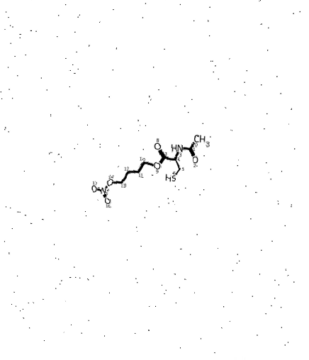 CC(=O)N[C@@H](CS)C(=O)OCCCCO[N+](=O)[O-]